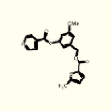 COc1cc(COC(=O)c2ccc(C)s2)cc(OC(=O)c2ccncc2)c1